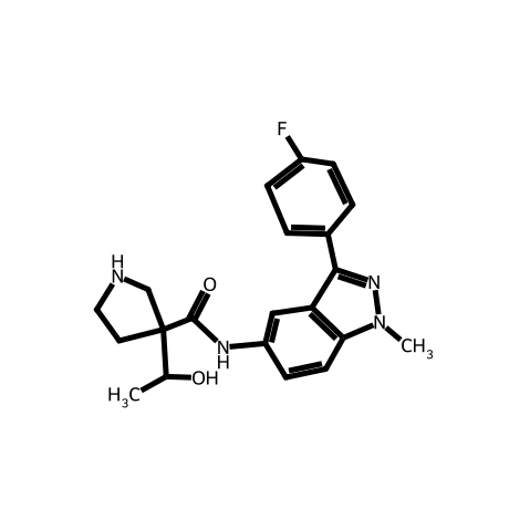 CC(O)C1(C(=O)Nc2ccc3c(c2)c(-c2ccc(F)cc2)nn3C)CCNC1